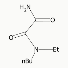 CCCCN(CC)C(=O)C(N)=O